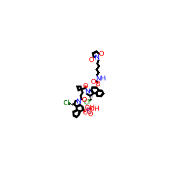 O=C(NCCCCCCN1C(=O)C=CC1=O)Oc1cc2c(c3ccccc13)[C@H](CCl)CN2C(=O)C1(CCC(=O)N2C[C@@H](CCl)c3c2cc(OP(=O)(O)O)c2ccccc32)CCC1